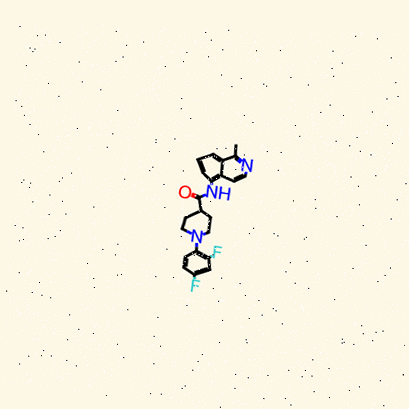 Cc1nccc2c(NC(=O)C3CCN(c4ccc(F)cc4F)CC3)cccc12